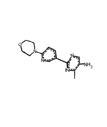 Cc1nc(-c2ccc(N3CCOCC3)nc2)ncc1N